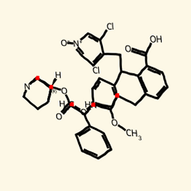 COc1ccc(C(Cc2c(Cl)c[n+]([O-])cc2Cl)c2c(CCCNC(C(=O)O[C@H]3CN4CCC3CC4)c3ccccc3)cccc2C(=O)O)cc1OC